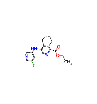 CCOC(=O)c1ncc(Nc2cncc(Cl)c2)c2c1CCCC2